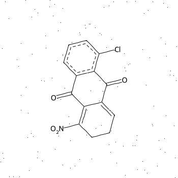 O=C1C2=C([N+](=O)[O-])CCC=C2C(=O)c2c(Cl)cccc21